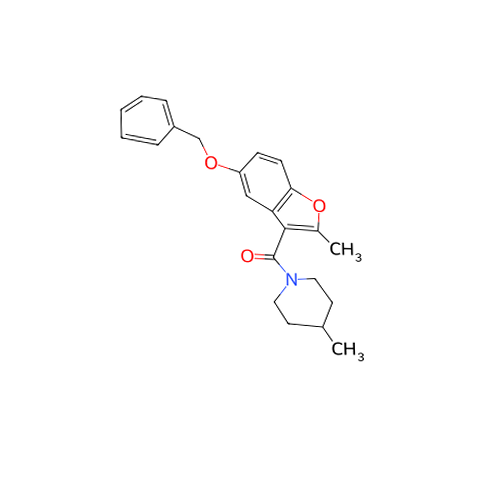 Cc1oc2ccc(OCc3ccccc3)cc2c1C(=O)N1CCC(C)CC1